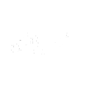 CC(C(=O)C(=[N+]=[N-])C(=O)OCc1ccc([N+](=O)[O-])cc1)[C@H]1NC(=O)[C@@H]1C(C)n1ncnn1